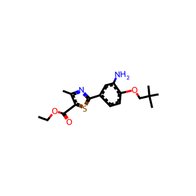 CCOC(=O)c1sc(-c2ccc(OCC(C)(C)C)c(N)c2)nc1C